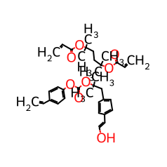 C=CC(=O)OC(C)(C)CCC(C)(C)OC(=O)C=C.C=Cc1ccc(OC(=O)OC(C)(C)Cc2ccc(C=CO)cc2)cc1